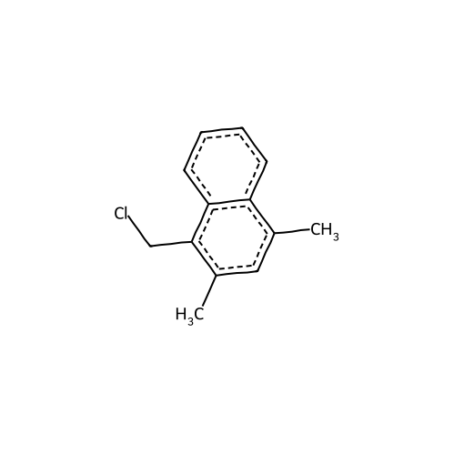 Cc1cc(C)c2ccccc2c1CCl